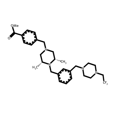 COC(=O)c1ccc(CN2C[C@@H](C)N(Cc3cccc(CN4CCN(CC(F)(F)F)CC4)c3)[C@@H](C)C2)cc1